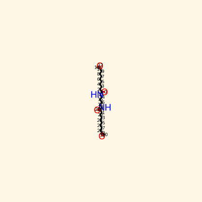 O=C(CCCCCCCCC1CO1)NCCCCNC(=O)CCCCCCCCC1CO1